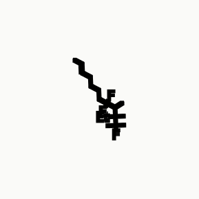 C/C=C/CCCCC(F)(F)C(C)C(C)(CC)C(C)(C)F